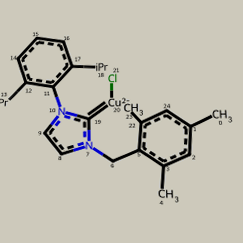 Cc1cc(C)c(Cn2ccn(-c3c(C(C)C)cccc3C(C)C)[c]2=[Cu-2][Cl])c(C)c1